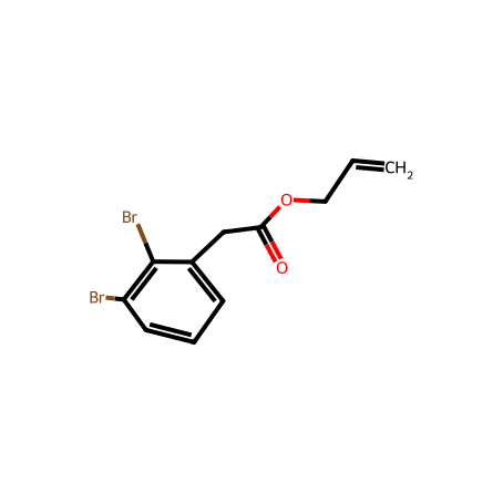 C=CCOC(=O)Cc1cccc(Br)c1Br